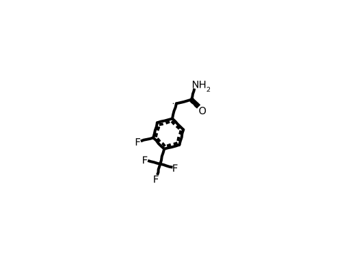 NC(=O)[CH]c1ccc(C(F)(F)F)c(F)c1